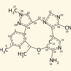 Cc1ccc2c(c1)C(C)Oc1cc(cnc1N)-c1c(C#N)ncn1Cc1cn(C)nc1-2